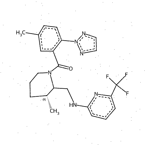 Cc1ccc(-n2nccn2)c(C(=O)N2CCC[C@@H](C)C2CNc2cccc(C(F)(F)F)n2)c1